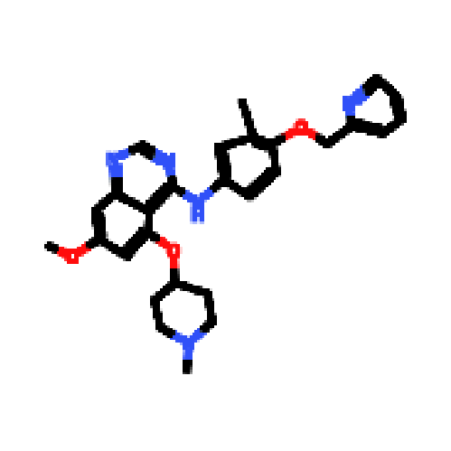 COc1cc(OC2CCN(C)CC2)c2c(Nc3ccc(OCc4ccccn4)c(C)c3)ncnc2c1